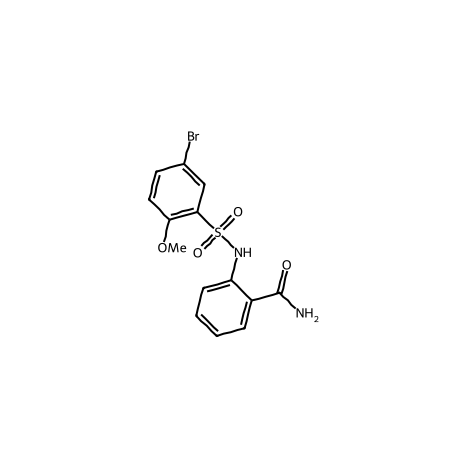 COc1ccc(Br)cc1S(=O)(=O)Nc1ccccc1C(N)=O